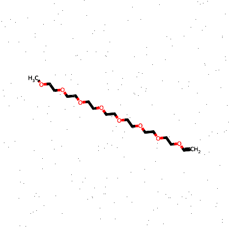 C=COCCOCCOCCOCCOCCOCCOCCOC